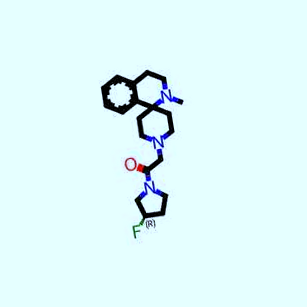 CN1CCc2ccccc2C12CCN(CC(=O)N1CC[C@@H](F)C1)CC2